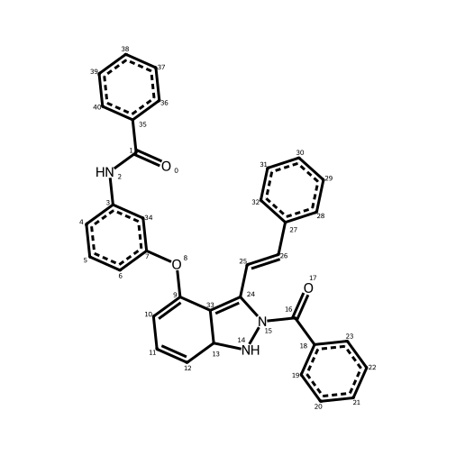 O=C(Nc1cccc(OC2=CC=CC3NN(C(=O)c4ccccc4)C(C=Cc4ccccc4)=C23)c1)c1ccccc1